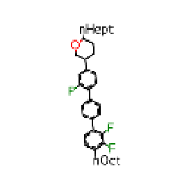 CCCCCCCCc1ccc(-c2ccc(-c3ccc(C4CCC(CCCCCCC)OC4)cc3F)cc2)c(F)c1F